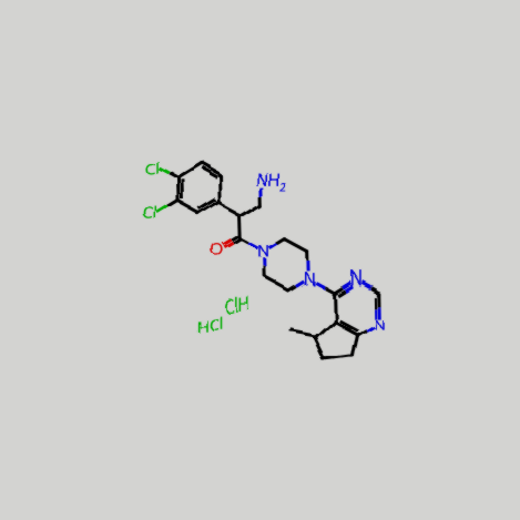 CC1CCc2ncnc(N3CCN(C(=O)C(CN)c4ccc(Cl)c(Cl)c4)CC3)c21.Cl.Cl